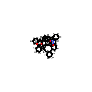 Cc1ccccc1-c1ccccc1C1C23CC(CCCCC14CCC(C2)c1ccccc1-c1cccc(-n2c5ccccc5c5ccc(-c6ccccc6)cc52)c14)c1ccccc1-c1ccccc13